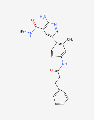 Cc1cc(NC(=O)CCc2ccccc2)ccc1-c1cnc(N)c(C(=O)NC(C)C)c1